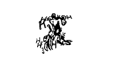 CNC(=Nc1cc(C)ccc1N1CCOCC1)NC.O=C(O)C=CC(=O)O